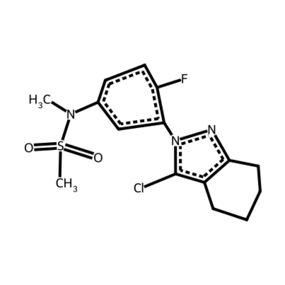 CN(c1ccc(F)c(-n2nc3c(c2Cl)CCCC3)c1)S(C)(=O)=O